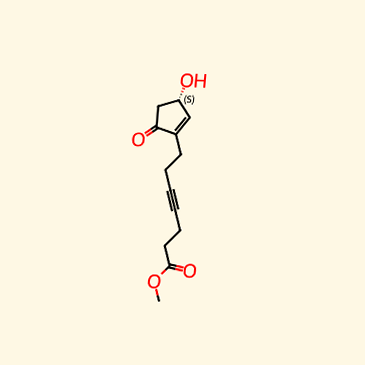 COC(=O)CCC#CCCC1=C[C@@H](O)CC1=O